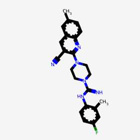 Cc1ccc2nc(N3CCN(C(=N)Nc4ccc(F)cc4C)CC3)c(C#N)cc2c1